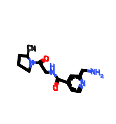 N#C[C@@H]1CCCN1C(=O)CNC(=O)c1ccnc(CN)c1